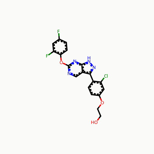 OCCOc1ccc(-c2n[nH]c3nc(Oc4ccc(F)cc4F)ncc23)c(Cl)c1